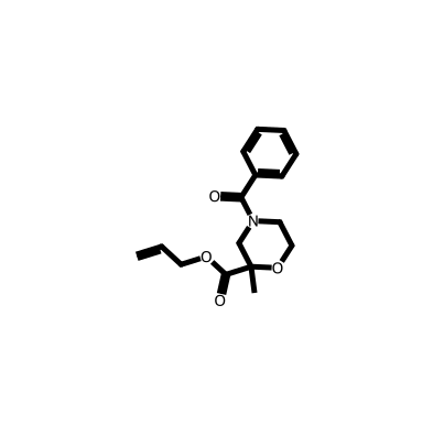 C=CCOC(=O)C1(C)CN(C(=O)c2ccccc2)CCO1